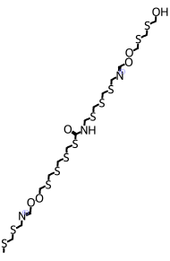 CSCSC/N=C/OOCSCSCSCSC(=O)NCSCSCSC/N=C/OOCSCSCO